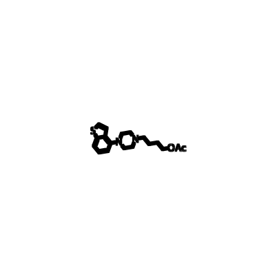 CC(=O)OCCCCN1CCN(c2cccc3sccc23)CC1